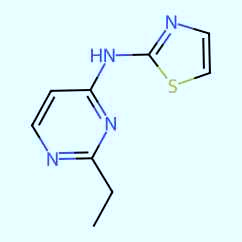 CCc1nccc(Nc2nccs2)n1